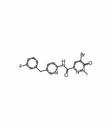 Cn1nc(C(=O)Nc2ccc(Cc3cccc(F)c3)cn2)cc(Br)c1=O